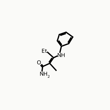 CC/C(Nc1ccccc1)=C(/C)C(N)=O